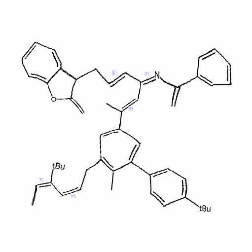 C=C(/N=C(/C=C/CC1C(=C)Oc2ccccc21)\C=C(/C)c1cc(C/C=C\C(=C/C)C(C)(C)C)c(C)c(-c2ccc(C(C)(C)C)cc2)c1)c1ccccc1